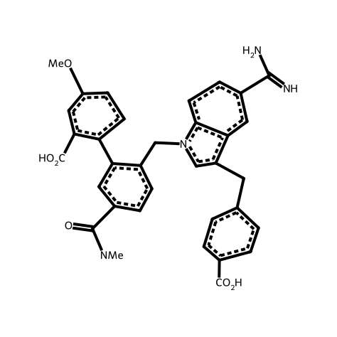 CNC(=O)c1ccc(Cn2cc(Cc3ccc(C(=O)O)cc3)c3cc(C(=N)N)ccc32)c(-c2ccc(OC)cc2C(=O)O)c1